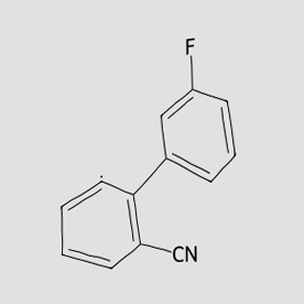 N#Cc1ccc[c]c1-c1cccc(F)c1